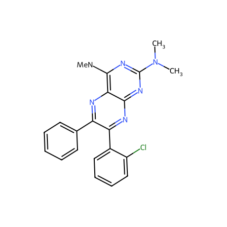 CNc1nc(N(C)C)nc2nc(-c3ccccc3Cl)c(-c3ccccc3)nc12